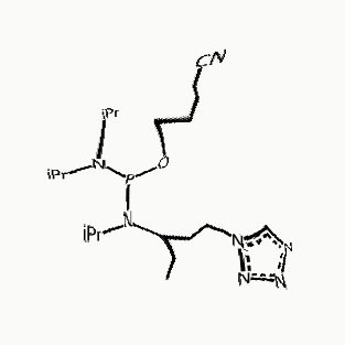 CC(C)N(C(C)C)P(OCCC#N)N(C(C)C)C(C)Cn1cnnn1